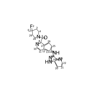 CC1(F)CCN(C(=O)c2nccc3cc(Nc4n[nH]c5cccnc45)ccc23)CC1